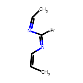 C\C=C/N=C(\N=C/C)C(C)C